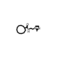 Cc1nccn1CCNC(=O)C1CCCCCCCCCC1